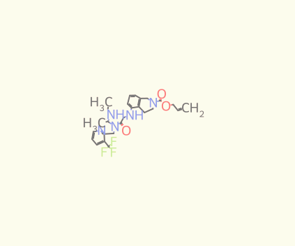 C=CCOC(=O)N1CCc2c(cccc2NCC(=O)N(Cc2ncccc2C(F)(F)F)C(C)NCC)C1